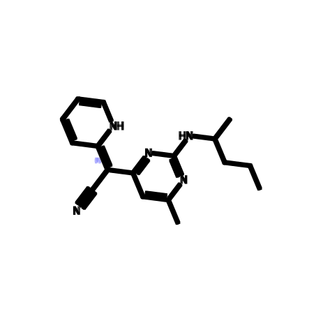 CCCC(C)Nc1nc(C)cc(/C(C#N)=C2/C=CC=CN2)n1